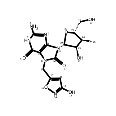 Nc1nc2c(c(=O)[nH]1)n(Cc1cc(O)no1)c(=O)n2[C@@H]1O[C@H](CO)[C@@H](F)[C@H]1O